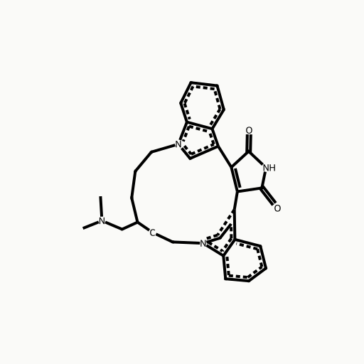 CN(C)CC1CCCn2cc(c3ccccc32)C2=C(C(=O)NC2=O)c2cn(c3ccccc23)CC1